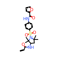 C=CC(=O)NC1CC(C)(C)N(S(=O)(=O)c2ccc(NC(=O)c3ccco3)cc2)C1(C)C